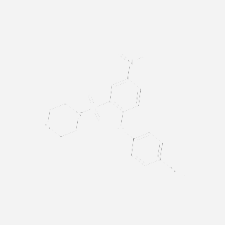 Nc1ccc(Oc2ccc([N+](=O)[O-])cc2S(=O)(=O)N2CCNCC2)cc1